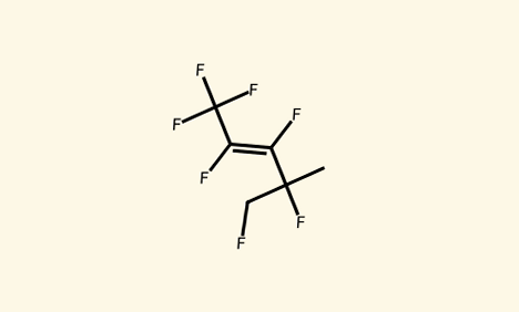 CC(F)(CF)C(F)=C(F)C(F)(F)F